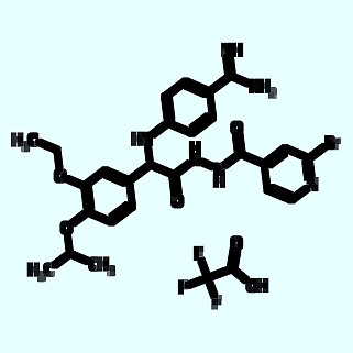 CCOc1cc(C(Nc2ccc(C(=N)N)cc2)C(=O)NNC(=O)c2ccnc(Br)c2)ccc1OC(C)C.O=C(O)C(F)(F)F